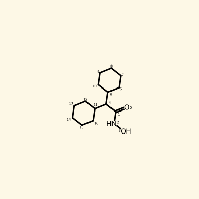 O=C(NO)C(C1CCCCC1)C1CCCCC1